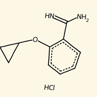 Cl.N=C(N)c1ccccc1OC1CC1